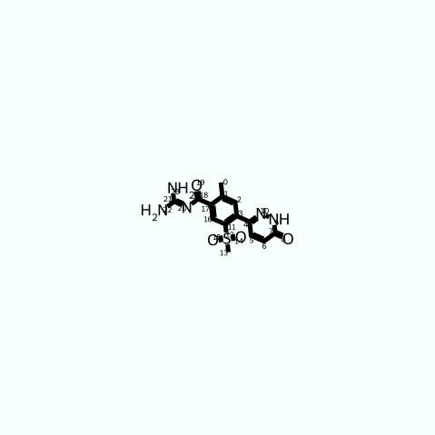 Cc1cc(-c2ccc(=O)[nH]n2)c(S(C)(=O)=O)cc1C(=O)N=C(N)N